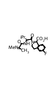 CN[C@@H](C)C(=O)N[C@H](C(=O)N1CCc2cc(F)ccc2C1C(=O)O)C(C)C